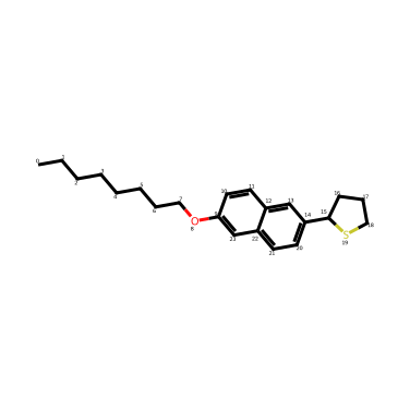 CCCCCCCCOc1ccc2cc(C3CCCS3)ccc2c1